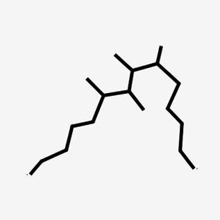 [CH2]CCCCC(C)C(C)C(C)C(C)CCCC[CH2]